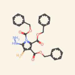 NNc1c(P)c(C(=O)OCc2ccccc2)c(C(=O)OCc2ccccc2)n1C(=O)OCc1ccccc1